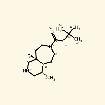 C[C@@H]1CNC[C@@H]2CCN(C(=O)OC(C)(C)C)CCN21